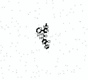 Cc1nc2c(C3CNCCCO3)c(NC(=O)Nc3cnc(-n4nccn4)c(Cl)c3)cnc2s1